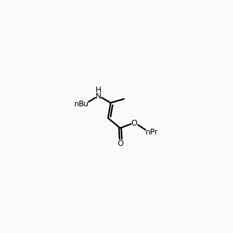 CCCCNC(C)=CC(=O)OCCC